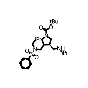 CC(C)CN(CC1CN(C(=O)OC(C)(C)C)C[C@H]1CNC(C)C)S(=O)(=O)c1ccccc1